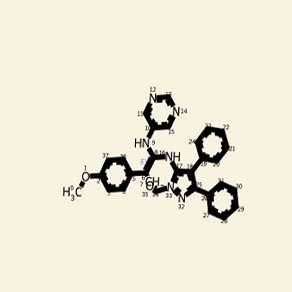 COc1ccc(/C(C)=C(\Nc2cncnc2)Nc2c(-c3ccccc3)c(-c3ccccc3)nn2C=O)cc1